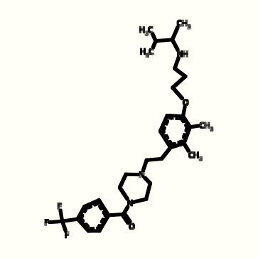 Cc1c(CCN2CCN(C(=O)c3ccc(C(F)(F)F)cc3)CC2)ccc(OCCCNC(C)C(C)C)c1C